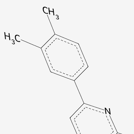 Cc1cccc(-c2ccc(C)c(C)c2)n1